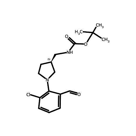 CC(C)(C)OC(=O)NC[C@@H]1CCN(c2c(Cl)cccc2C=O)C1